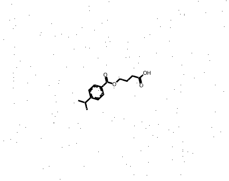 CC(C)c1ccc(C(=O)OCCCC(=O)O)cc1